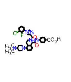 CN(C)C1CCN(c2cccc3c2CCN(C(=O)c2cn(-c4cccc(Cl)c4F)cn2)C3C(=O)Nc2ccc(C(=O)O)cc2)CC1